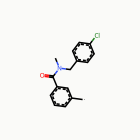 [CH2]c1cccc(C(=O)N(C)Cc2ccc(Cl)cc2)c1